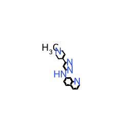 CN1CC=C(c2cc(Nc3ccc4cccnc4c3)ncn2)CC1